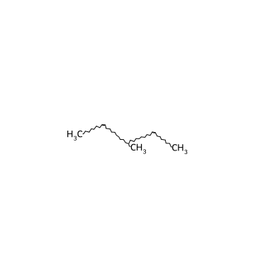 CCCCCCCC/C=C\CCCCCCCCCC(CC)CCCCCCCC/C=C\CCCCCCCC